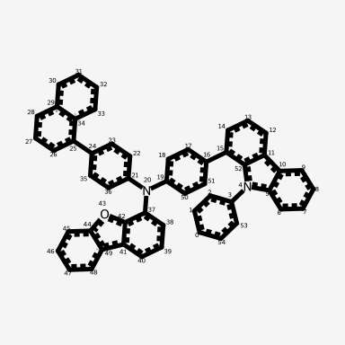 c1ccc(-n2c3ccccc3c3cccc(-c4ccc(N(c5ccc(-c6cccc7ccccc67)cc5)c5cccc6c5oc5ccccc56)cc4)c32)cc1